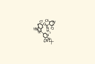 CC1(C)CN(c2ncc(-c3n[nH]c4cc(Cl)c(O[C@H](N)c5c(Cl)cncc5Cl)cc34)cc2C#N)C1